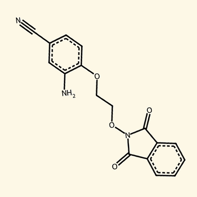 N#Cc1ccc(OCCON2C(=O)c3ccccc3C2=O)c(N)c1